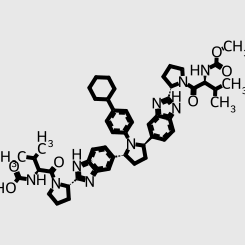 COC(=O)N[C@H](C(=O)N1CCC[C@H]1c1nc2cc([C@H]3CC[C@H](c4ccc5[nH]c([C@@H]6CCCN6C(=O)[C@@H](NC(=O)O)C(C)C)nc5c4)N3c3ccc(C4CCCCC4)cc3)ccc2[nH]1)C(C)C